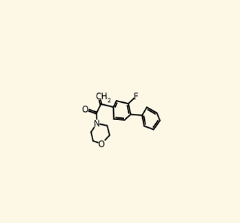 C=C(C(=O)N1CCOCC1)c1ccc(-c2ccccc2)c(F)c1